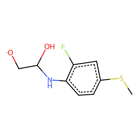 CSc1ccc(NC(O)C[O])c(F)c1